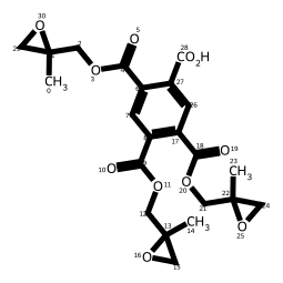 CC1(COC(=O)c2cc(C(=O)OCC3(C)CO3)c(C(=O)OCC3(C)CO3)cc2C(=O)O)CO1